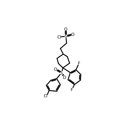 O=S(=O)(Cl)CCC1CCC(c2cc(F)ccc2F)(S(=O)(=O)c2ccc(Cl)cc2)CC1